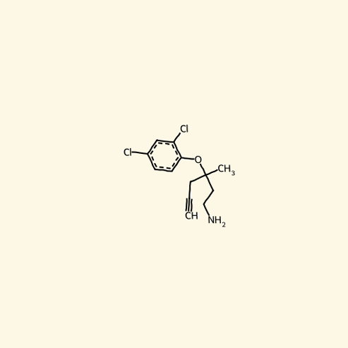 C#CCC(C)(CCN)Oc1ccc(Cl)cc1Cl